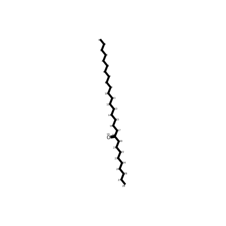 CCCCCCCCCCCCCCCCCCC(=O)CCCCCCCCC